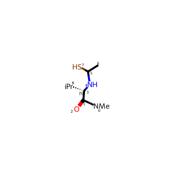 CNC(=O)[C@@H](NC(C)S)C(C)C